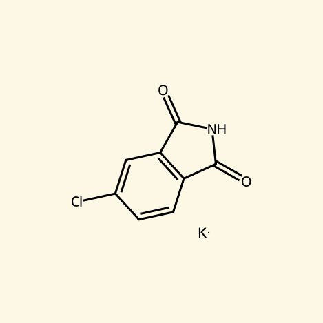 O=C1NC(=O)c2cc(Cl)ccc21.[K]